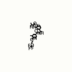 Cc1cc(C(=O)NC(C)c2ccnc(NC(=O)C(C)C)c2)cnc1OCCOC(F)(F)F